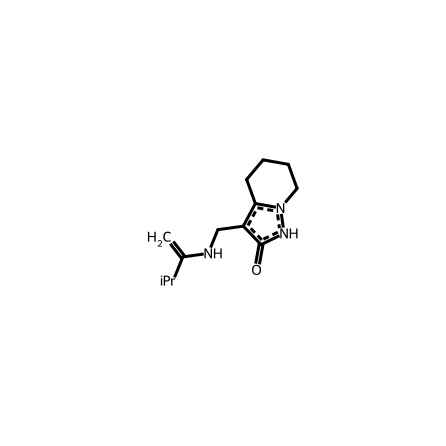 C=C(NCc1c2n([nH]c1=O)CCCC2)C(C)C